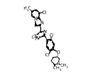 C=C1CC[C@H](Oc2cc(Cl)c(-c3noc(-c4cn5cc(C)cc(Cl)c5n4)n3)cc2Cl)CN1C